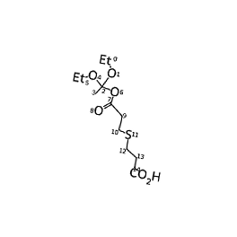 CCOC(C)(OCC)OC(=O)CCSCCC(=O)O